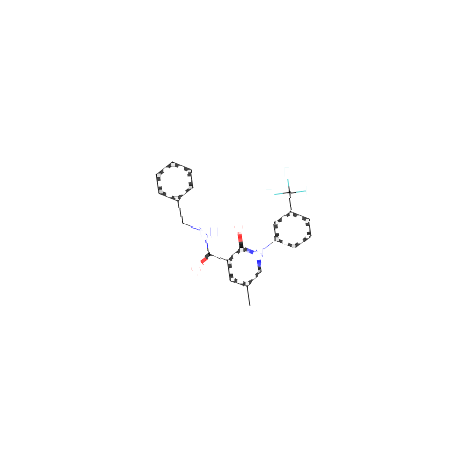 Cc1cc(C(=O)NCc2ccccc2)c(=O)n(-c2cccc(C(F)(F)F)c2)c1